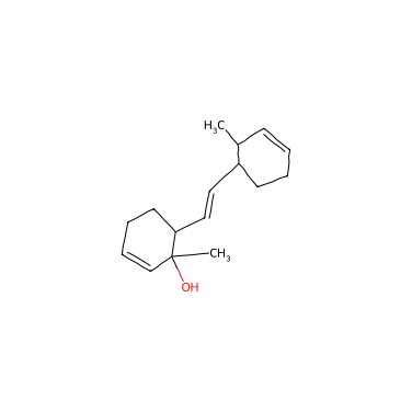 CC1C=CCCC1/C=C/C1CCC=CC1(C)O